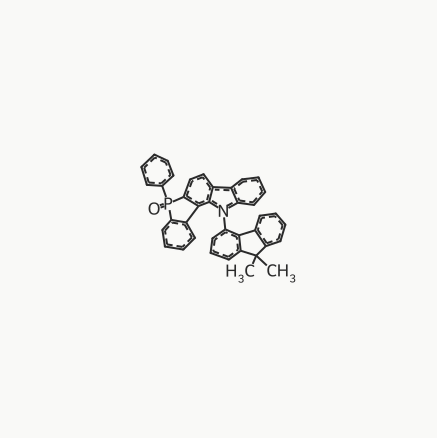 CC1(C)c2ccccc2-c2c(-n3c4ccccc4c4ccc5c(c43)-c3ccccc3P5(=O)c3ccccc3)cccc21